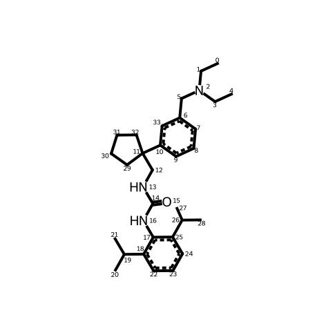 CCN(CC)Cc1cccc(C2(CNC(=O)Nc3c(C(C)C)cccc3C(C)C)CCCC2)c1